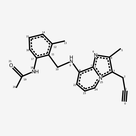 C#CCc1c(C)nc2c(NCc3c(C)cccc3NC(C)=O)cccn12